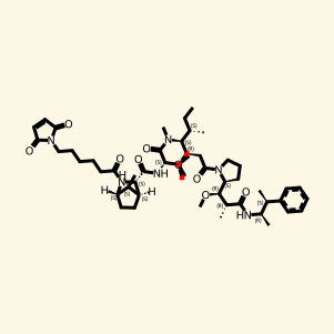 CC[C@H](C)[C@@H]([C@@H](CC(=O)N1CCC[C@H]1[C@H](OC)[C@@H](C)C(=O)N[C@H](C)[C@@H](C)c1ccccc1)OC)N(C)C(=O)[C@@H](NC(=O)[C@@H]1[C@H]2CC[C@@H]([C@H]2C)N1C(=O)CCCCCN1C(=O)C=CC1=O)C(C)C